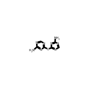 Nc1ncnc(Oc2ncnc(N)n2)n1